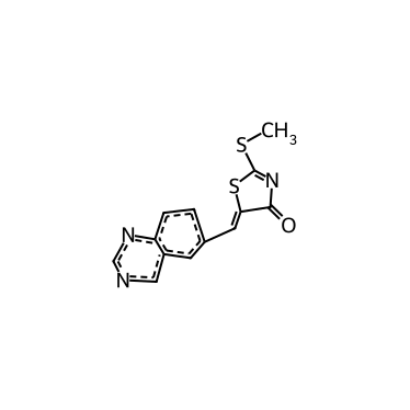 CSC1=NC(=O)/C(=C/c2ccc3ncncc3c2)S1